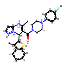 CC1=C(C(=O)N2CCN(c3ccc(F)cc3)CC2)C(c2sc3ccccc3c2C)n2nccc2N1